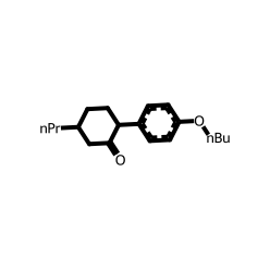 CCCCOc1ccc(C2CCC(CCC)CC2=O)cc1